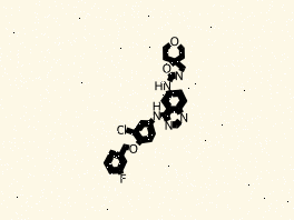 Fc1cccc(COc2ccc(Nc3ncnc4ccc(NC5=NCC6(CCOCC6)O5)cc34)cc2Cl)c1